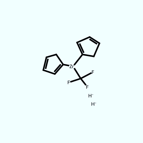 F[C](F)(F)[Zr]([C]1=CC=CC1)[C]1=CC=CC1.[H-].[H-]